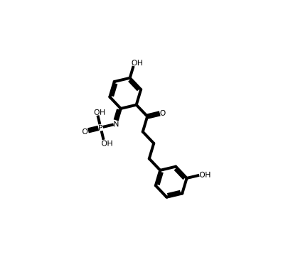 O=C(CCCc1cccc(O)c1)C1C=C(O)C=CC1=NP(=O)(O)O